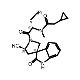 CC(C)C[C@@H](C(=O)N1C[C@]2(C[C@H]1C#N)C(=O)Nc1ccccc12)N(C)C(=O)CC1CC1